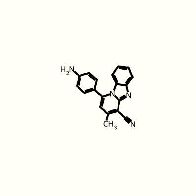 Cc1cc(-c2ccc(N)cc2)n2c(nc3ccccc32)c1C#N